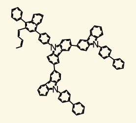 C/C=C\C=C/c1cc(-c2ccc(-n3c4ccc(-c5ccc6c(c5)c5ccccc5n6-c5ccc(-c6ccccc6)cc5)cc4c4cc(-c5ccc6c(c5)c5ccccc5n6-c5ccc(-c6ccccc6)cc5)ccc43)cc2)c2ccccc2c1-c1ccccc1